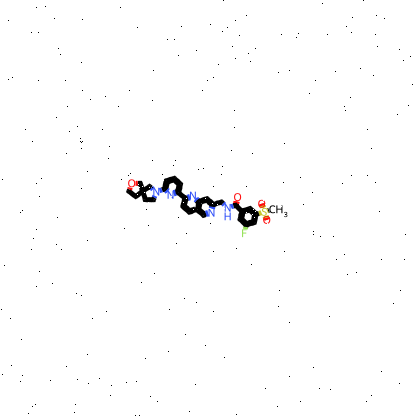 CS(=O)(=O)c1cc(F)cc(C(=O)NCc2cc3nc(-c4cccc(N5CCC6(CCOC6)C5)n4)ccc3cn2)c1